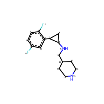 Fc1ccc(F)c(C2CC2NCC2CCNCC2)c1